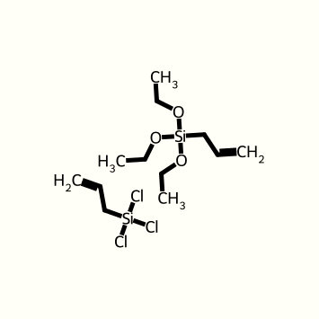 C=CC[Si](Cl)(Cl)Cl.C=CC[Si](OCC)(OCC)OCC